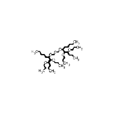 CCCCCC(OCOCOC(CCCCC)C(OCCC)=C(CCC)OCCC)C(OCCC)=C(CCC)OCCC